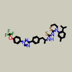 Cc1ccc(C(C)C)c(N2CCCS/C2=N\C(=S)NC(C)Cc2ccc(-c3ncn(-c4ccc(OC(F)(F)F)cc4)n3)cc2)c1